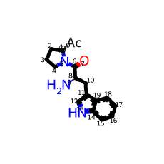 CC(=O)[C@@H]1CCCN1C(=O)[C@@H](N)Cc1c[nH]c2ccccc12